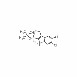 C[Si](C)(C)OC1(C(F)(F)F)CCCc2c1[nH]c1cc(Cl)c(Cl)cc21